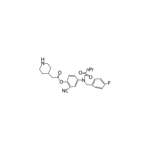 CCCS(=O)(=O)N(Cc1ccc(F)cc1)c1ccc(OC(=O)CC2CCNCC2)c(C#N)c1